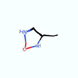 CC1CNON1